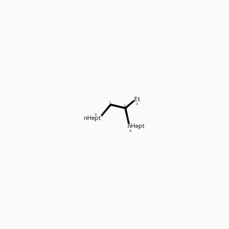 CCCCCCCC[C](CC)CCCCCCC